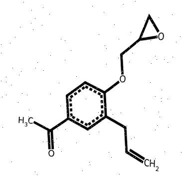 C=CCc1cc(C(C)=O)ccc1OCC1CO1